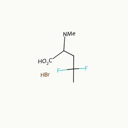 Br.CNC(CC(C)(F)F)C(=O)O